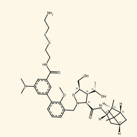 COc1c(CN2O[C@@H](CO)[C@@H]([C@H](C)O)[C@H]2C(=O)N[C@H]2C[C@H]3C[C@@H]([C@@H]2C)C3(C)C)cccc1-c1cc(C(=O)NCCSSCCN)cc(N(C)C)c1